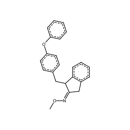 CO/N=C1/Cc2ccccc2C1Cc1ccc(Oc2ccccc2)cc1